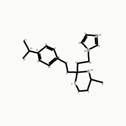 CC1CCSC(CCc2ccc(C(C)C)cc2)(CCn2ccnc2)S1